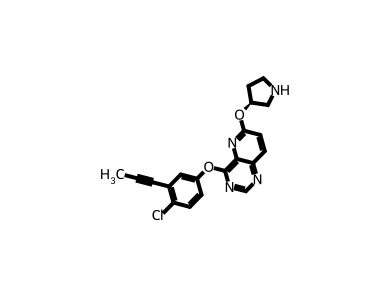 CC#Cc1cc(Oc2ncnc3ccc(O[C@H]4CCNC4)nc23)ccc1Cl